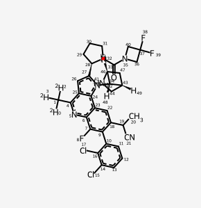 [2H]C([2H])([2H])c1nc2c(F)c(-c3cccc(Cl)c3Cl)c(C(C)C#N)cc2c2c1cc([C@H]1CCCN1C(=O)N1CC(F)(F)C1)n2[C@H]1[C@H]2CN[C@@H]1C2